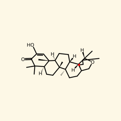 CC1(C)CC[C@]23CC[C@]4(C)[C@H](CC[C@@H]5[C@@]6(C)C=C(O)C(=O)C(C)(C)[C@@H]6CC[C@]54C)[C@@H]2[C@H]1OC3